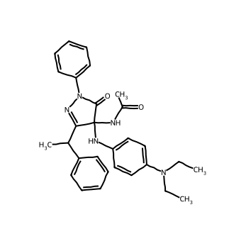 CCN(CC)c1ccc(NC2(NC(C)=O)C(=O)N(c3ccccc3)N=C2C(C)c2ccccc2)cc1